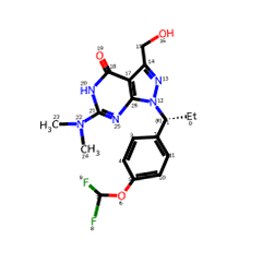 CC[C@H](c1ccc(OC(F)F)cc1)n1nc(CO)c2c(=O)[nH]c(N(C)C)nc21